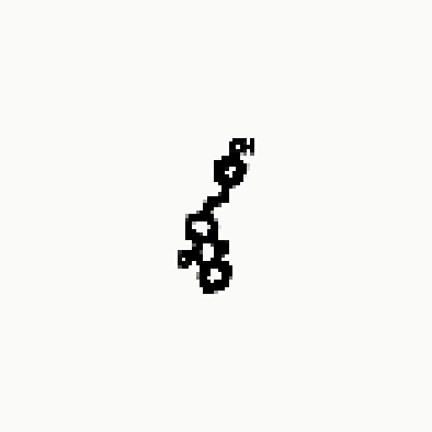 O=c1c2ccccc2oc2cc(C=Cc3ccc(O)cc3)ccc12